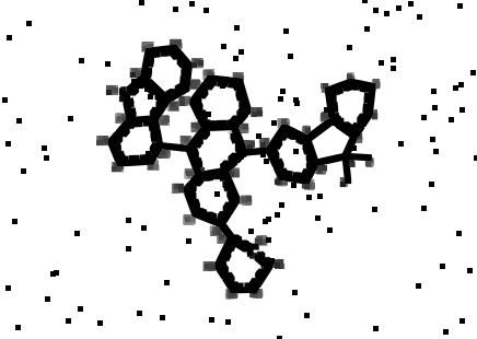 CC1(C)c2ccccc2-c2cc(-c3c4ccccc4c(-c4cccc5sc6ccccc6c45)c4ccc(-c5ccccc5)cc34)ccc21